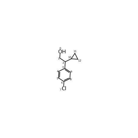 OCC(c1ccc(Cl)cc1)C1CC1